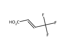 O=C(O)C=CC(F)(F)F